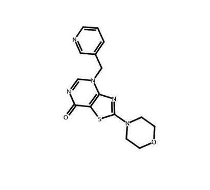 O=c1ncn(Cc2cccnc2)c2nc(N3CCOCC3)sc12